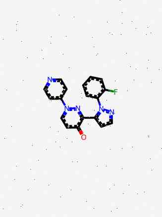 O=c1ccn(-c2ccncc2)nc1-c1ccnn1-c1ccccc1F